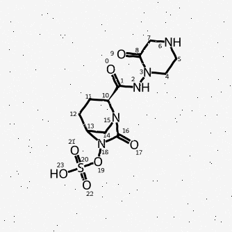 O=C(NN1CCNCC1=O)[C@@H]1CCC2CN1C(=O)N2OS(=O)(=O)O